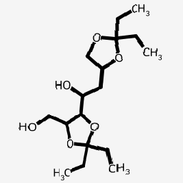 CCC1(CC)OCC(CC(O)C2OC(CC)(CC)OC2CO)O1